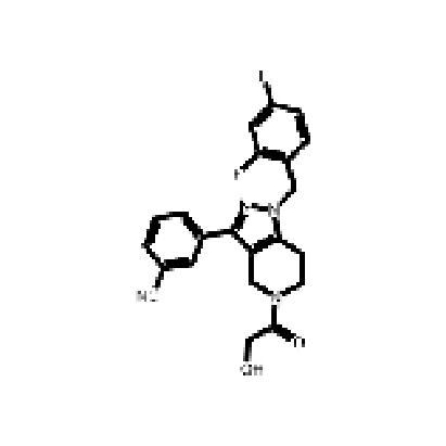 N#Cc1cccc(-c2nn(Cc3ccc(F)cc3F)c3c2CN(C(=O)CO)CC3)c1